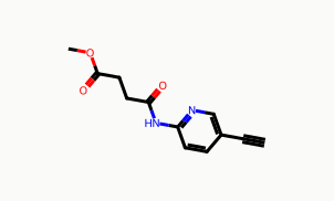 C#Cc1ccc(NC(=O)CCC(=O)OC)nc1